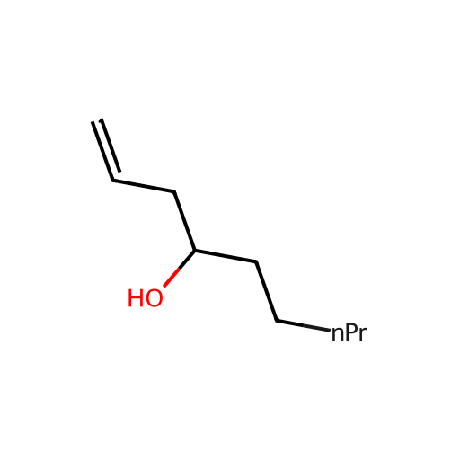 [CH]=CCC(O)CCCCC